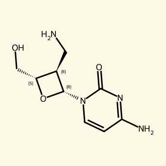 NC[C@H]1[C@H](n2ccc(N)nc2=O)O[C@@H]1CO